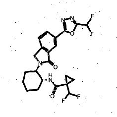 O=C1c2cc(-c3nnc(C(F)F)o3)ccc2CN1[C@@H]1CCCC[C@H]1NC(=O)C1(C(F)F)CC1